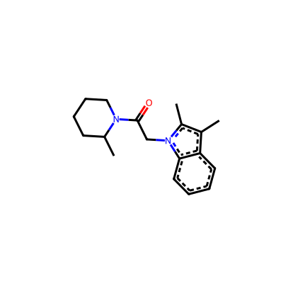 Cc1c(C)n(CC(=O)N2CCCCC2C)c2ccccc12